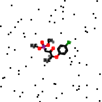 COP(=O)(CC(=O)[C@H](C)Oc1ccc(Br)cc1)OC